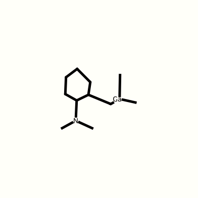 CN(C)C1CCCCC1[CH2][Ga]([CH3])[CH3]